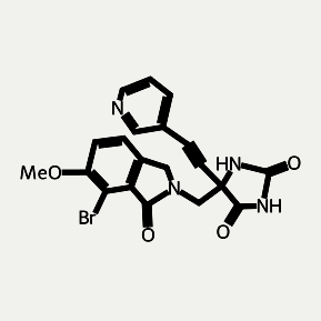 COc1ccc2c(c1Br)C(=O)N(CC1(C#Cc3cccnc3)NC(=O)NC1=O)C2